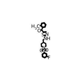 Cc1ccccc1C(=O)c1cnc(NCC2CCN(S(=O)(=O)c3cccc(F)c3)CC2)s1